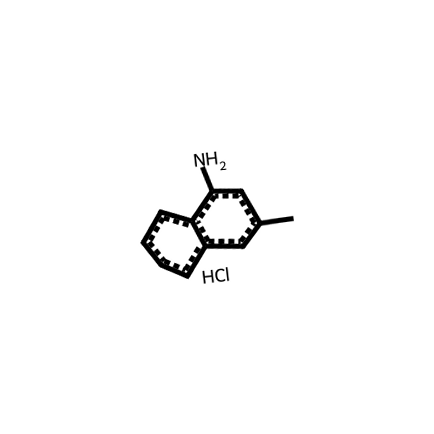 Cc1cc(N)c2ccccc2c1.Cl